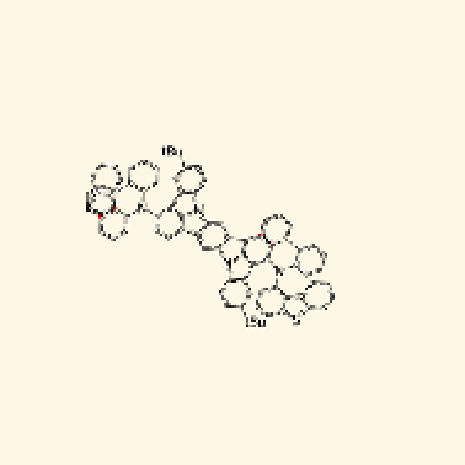 CC(C)(C)c1ccc2c(c1)c1c(N(c3ccccc3-c3ccccc3)c3cccc4sc5ccccc5c34)ccc3c4cc5c(cc4n2c31)c1ccc(N(c2ccccc2-c2ccccc2)c2cccc3sc4ccccc4c23)c2c3cc(C(C)(C)C)ccc3n5c12